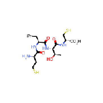 CC(C)C[C@H](NC(=O)[C@H](N)CCS)C(=O)N[C@H](C(=O)N[C@H](CS)C(=O)O)[C@@H](C)O